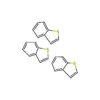 c1ccc2sccc2c1.c1ccc2sccc2c1.c1ccc2sccc2c1